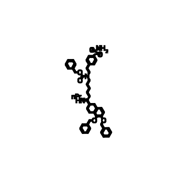 CCCN[C@@H](CCCCCN(CCc1ccc(S(N)(=O)=O)cc1)C(=O)OCc1ccccc1)C1CCc2c(ccc(OCc3ccccc3)c2OCc2ccccc2)C1